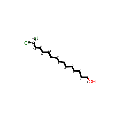 OCCCCCCCCCCCCCC[SiH](Cl)Cl